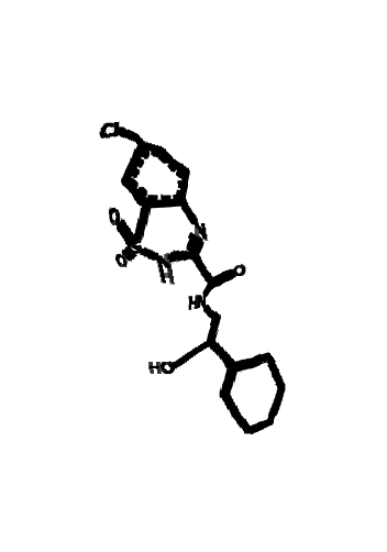 O=C(NCC(O)C1CCCCC1)C1=Nc2ccc(Cl)cc2S(=O)(=O)N1